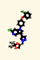 CC1(C)OC[C@@H](Cn2cc(-c3cn(C4CCC(Oc5ccccc5F)CC4)c4cc(Cl)ncc34)cn2)O1